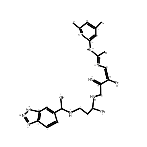 CCCC(CCNC(O)c1ccc2nn[nH]c2c1)NCC(=N)/C(=C\N=C(/C)Nc1cc(C)cc(C)n1)CC